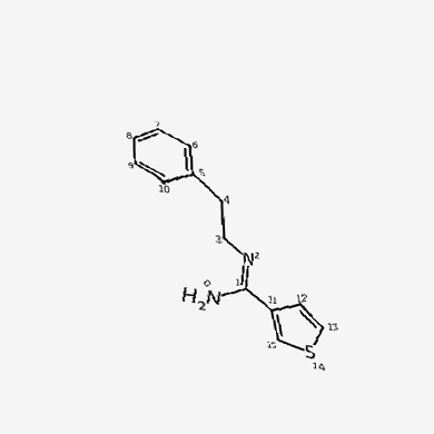 N/C(=N\CCc1ccccc1)c1ccsc1